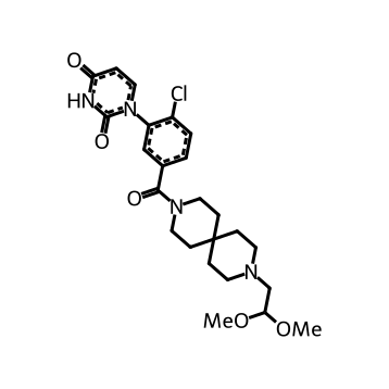 COC(CN1CCC2(CC1)CCN(C(=O)c1ccc(Cl)c(-n3ccc(=O)[nH]c3=O)c1)CC2)OC